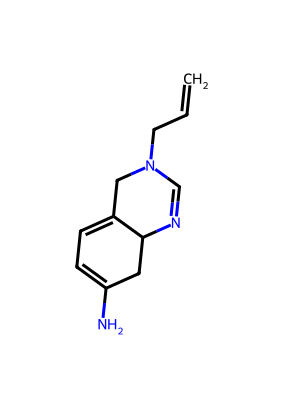 C=CCN1C=NC2CC(N)=CC=C2C1